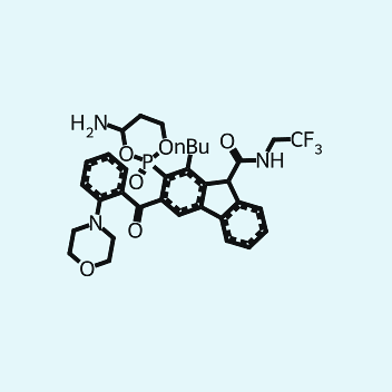 CCCCc1c2c(cc(C(=O)c3ccccc3N3CCOCC3)c1P1(=O)OCCC(N)O1)-c1ccccc1C2C(=O)NCC(F)(F)F